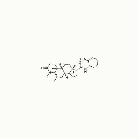 CC1=C2N(C)C(=O)CC[C@]2(C)[C@@H]2CC[C@]3(C)C(C(=O)N[C@H]4CCCC[C@@H]4O)CC[C@H]3[C@@H]2C1